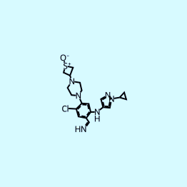 N=Cc1cc(Cl)c(N2CCN(C3C[S+]([O-])C3)CC2)cc1Nc1cnn(C2CC2)c1